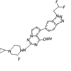 COc1nc(N[C@H]2CCN(C3CC3)C[C@H]2F)nn2ccc(-c3ccc4nnn(CC(F)F)c4c3)c12